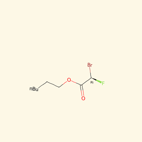 CCCCCCOC(=O)[C@H](F)Br